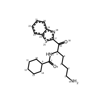 NCCCCC(NC(=O)C1CCCCC1)C(=O)c1nc2ccccc2s1